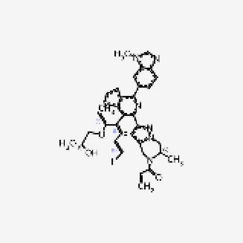 C=CC(=O)N1Cc2cc(-c3nc(-c4ccc5ncn(C)c5c4)c4ccsc4c3C(/C(=C\C)OC[C@@H](C)O)=C(F)/C=C/F)nn2C[C@H]1C